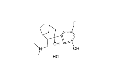 CN(C)CC1C2CCC(C2)CC1(O)c1cc(O)cc(F)c1.Cl